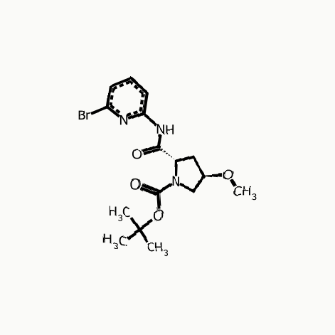 CO[C@@H]1C[C@@H](C(=O)Nc2cccc(Br)n2)N(C(=O)OC(C)(C)C)C1